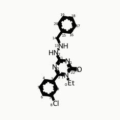 CCn1c(-c2cccc(Cl)c2)nc(NNCc2ccccc2)nc1=O